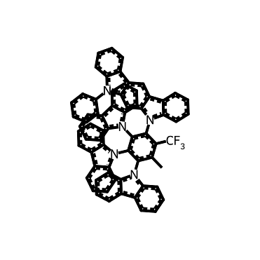 Cc1c(-n2c3ccccc3c3ccccc32)c(-n2c3ccccc3c3ccccc32)c(-n2c3ccccc3c3ccccc32)c(-n2c3ccccc3c3cc4c5ccccc5n(-c5ccccc5)c4cc32)c1C(F)(F)F